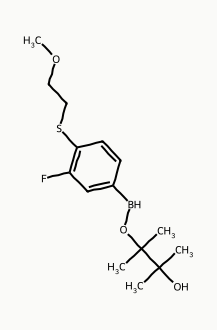 COCCSc1ccc(BOC(C)(C)C(C)(C)O)cc1F